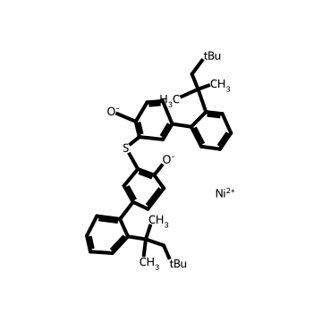 CC(C)(C)CC(C)(C)c1ccccc1-c1ccc([O-])c(Sc2cc(-c3ccccc3C(C)(C)CC(C)(C)C)ccc2[O-])c1.[Ni+2]